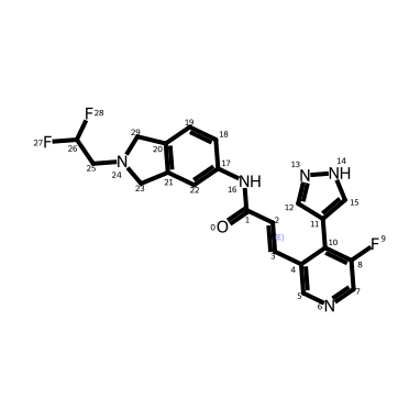 O=C(/C=C/c1cncc(F)c1-c1cn[nH]c1)Nc1ccc2c(c1)CN(CC(F)F)C2